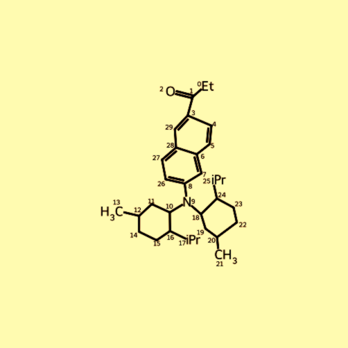 CCC(=O)c1ccc2cc(N(C3CC(C)CCC3C(C)C)C3CC(C)CCC3C(C)C)ccc2c1